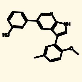 COc1ccc(C)cc1-c1c[nH]c2ncc(-c3cccc(O)c3)cc12